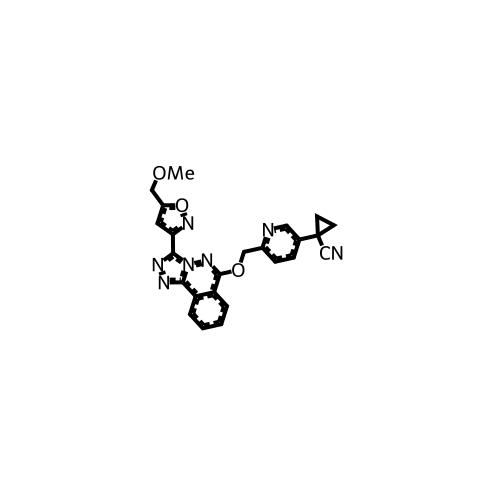 COCc1cc(-c2nnc3c4ccccc4c(OCc4ccc(C5(C#N)CC5)cn4)nn23)no1